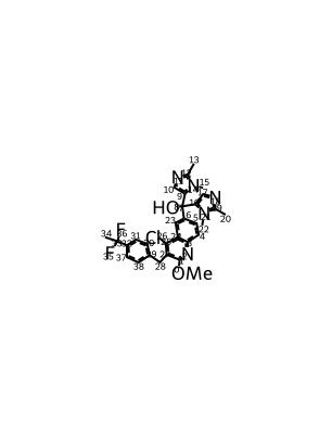 COc1nc2ccc(C(O)(c3cnc(C)n3C)c3cnc(C)n3C)cc2c(Cl)c1Cc1ccc(C(C)(F)F)cc1